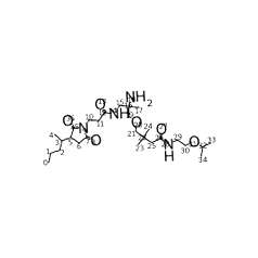 CCCC(C)C1CC(=O)N(CCC(=O)NCC(C)(N)COCC(C)(C)CC(=O)NCCOC(C)C)C1=O